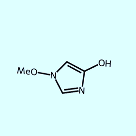 COn1cnc(O)c1